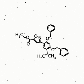 CCOC(=O)c1cc(-c2cc(C(C)C)c(OCc3ccccc3)cc2OCc2ccccc2)no1